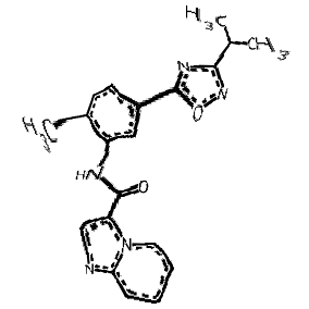 Cc1ccc(-c2nc(C(C)C)no2)cc1NC(=O)c1cnc2ccccn12